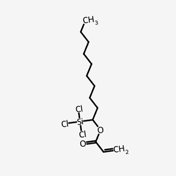 C=CC(=O)OC(CCCCCCCCC)[Si](Cl)(Cl)Cl